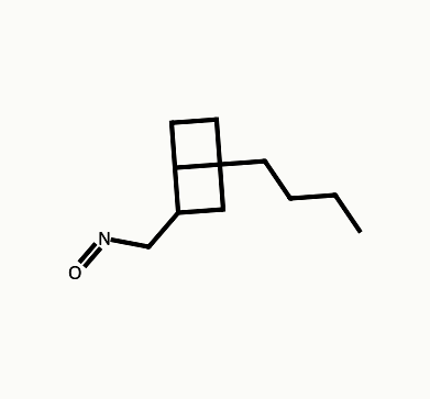 CCCCC12CCC1C(CN=O)C2